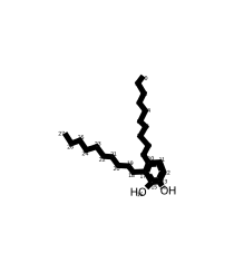 CCCCCCCCCCc1ccc(O)c(O)c1CCCCCCCCCC